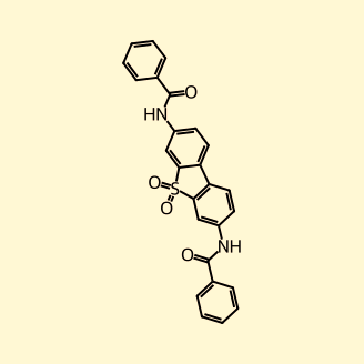 O=C(Nc1ccc2c(c1)S(=O)(=O)c1cc(NC(=O)c3ccccc3)ccc1-2)c1ccccc1